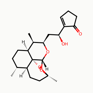 C[C@H]1[C@@H](C[C@H](O)C2=CCCC2=O)O[C@@H]2O[C@]3(C)CC[C@H]4[C@H](C)CC[C@@H]1[C@@]24OO3